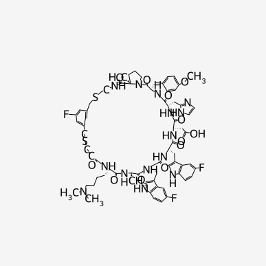 COc1ccc(C[C@@H]2NC(=O)[C@H](Cc3ncc[nH]3)NC(=O)[C@H](CC(=O)O)NC(=O)[C@H](Cc3c[nH]c4ccc(F)cc34)NC(=O)[C@H](Cc3c[nH]c4ccc(F)cc34)NC(=O)[C@@H](C)NC(=O)[C@H](CCCCN(C)C)NC(=O)CCSCc3cc(F)cc(c3)CSCCNC(=O)[C@]3(C)CCCN3C2=O)cc1